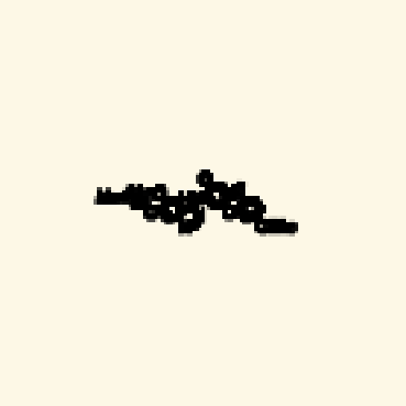 COCCOc1cc2ncnc(NC3=CC(=O)C(N(C)c4ccc(OC)cc4)=CC3=O)c2cc1OC